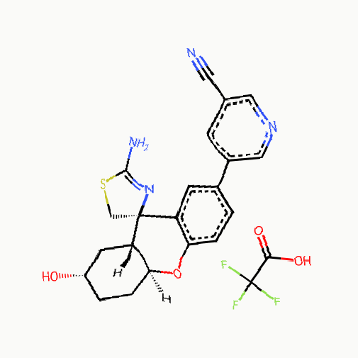 N#Cc1cncc(-c2ccc3c(c2)[C@@]2(CSC(N)=N2)[C@H]2C[C@@H](O)CC[C@@H]2O3)c1.O=C(O)C(F)(F)F